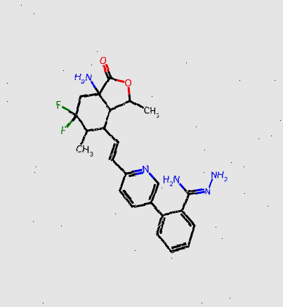 CC1OC(=O)C2(N)CC(F)(F)C(C)C(/C=C/c3ccc(-c4ccccc4/C(N)=N/N)cn3)C12